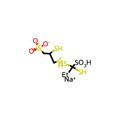 CCC(S)(S)S(=O)(=O)O.O=S(=O)([O-])CC(S)CS.[Na+]